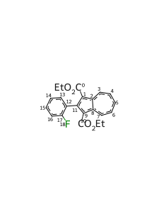 CCOC(=O)c1c2cccccc-2c(C(=O)OCC)c1-c1ccccc1F